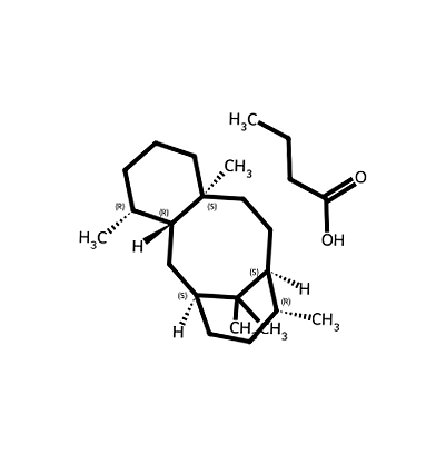 CCCC(=O)O.C[C@@H]1CCC[C@@]2(C)CC[C@H]3[C@H](C)CC[C@@H](C[C@H]12)C3(C)C